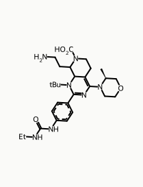 CCNC(=O)Nc1ccc(C2=NC(N3CCOC[C@@H]3C)=C3CCN(C(=O)O)C(CCN)C3N2C(C)(C)C)cc1